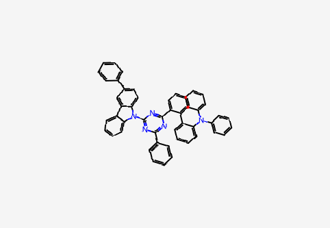 c1ccc(-c2ccc3c(c2)c2ccccc2n3-c2nc(-c3ccccc3)nc(-c3ccccc3-c3ccccc3N(c3ccccc3)c3ccccc3)n2)cc1